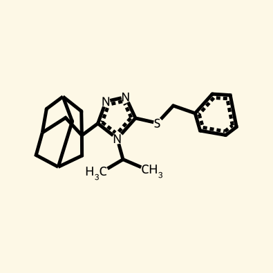 CC(C)n1c(SCc2ccccc2)nnc1C12CC3CC(CC(C3)C1)C2